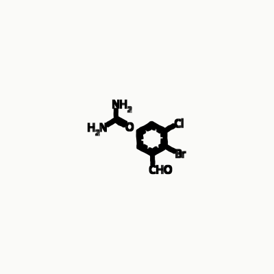 NC(N)=O.O=Cc1cccc(Cl)c1Br